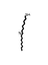 CCCCCCCCCCCCCCCCS.[Na]